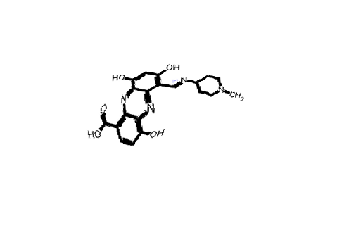 CN1CCC(/N=C/c2c(O)cc(O)c3nc4c(C(=O)O)ccc(O)c4nc23)CC1